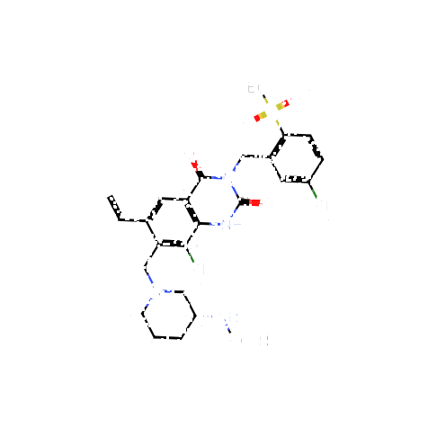 C=Cc1cc2c(=O)n(Cc3cc(Cl)ccc3S(=O)(=O)CC)c(=O)[nH]c2c(Cl)c1CN1CCC[C@@H](NC(=O)O)C1